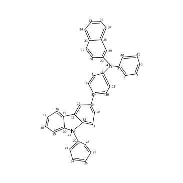 c1ccc(N(c2ccc(-c3ccc4c(c3)c3ccccc3n4-c3ccccc3)cc2)c2ccc3ccccc3c2)cc1